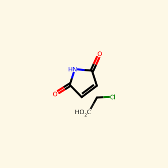 O=C(O)CCl.O=C1C=CC(=O)N1